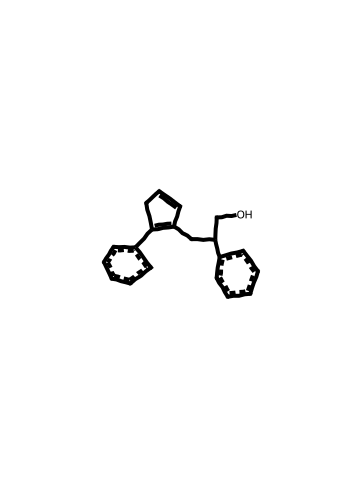 OCC(CC1=C(c2ccccc2)CC=C1)c1ccccc1